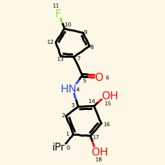 CC(C)c1cc(NC(=O)c2ccc(F)cc2)c(O)cc1O